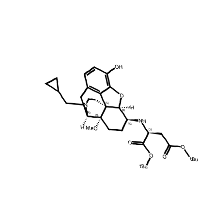 CO[C@@]12CC[C@H](N[C@@H](CC(=O)OC(C)(C)C)C(=O)OC(C)(C)C)[C@@H]3Oc4c(O)ccc5c4[C@@]31CCN(CC1CC1)[C@@H]2C5